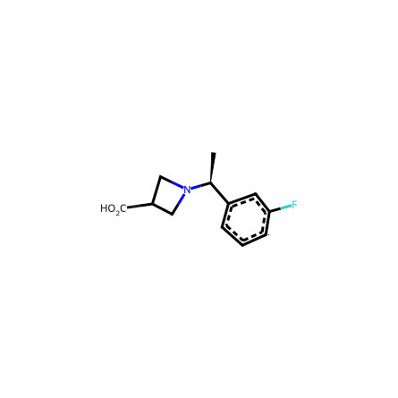 C[C@@H](c1cc[c]c(F)c1)N1CC(C(=O)O)C1